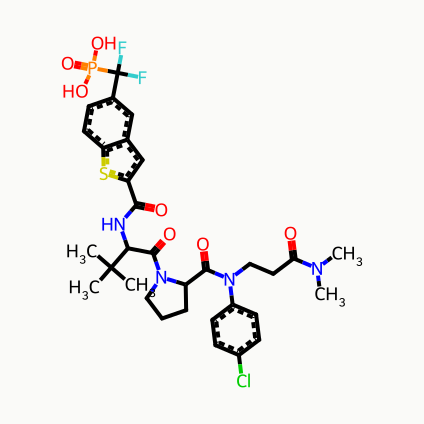 CN(C)C(=O)CCN(C(=O)C1CCCN1C(=O)C(NC(=O)c1cc2cc(C(F)(F)P(=O)(O)O)ccc2s1)C(C)(C)C)c1ccc(Cl)cc1